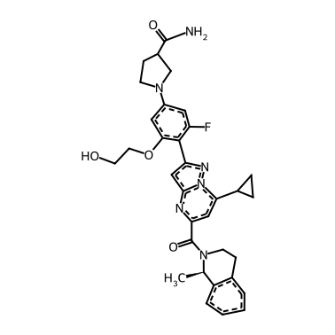 C[C@@H]1c2ccccc2CCN1C(=O)c1cc(C2CC2)n2nc(-c3c(F)cc(N4CCC(C(N)=O)C4)cc3OCCO)cc2n1